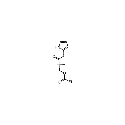 CCC(=O)OCC(C)(C)C(=O)Cc1ccc[nH]1